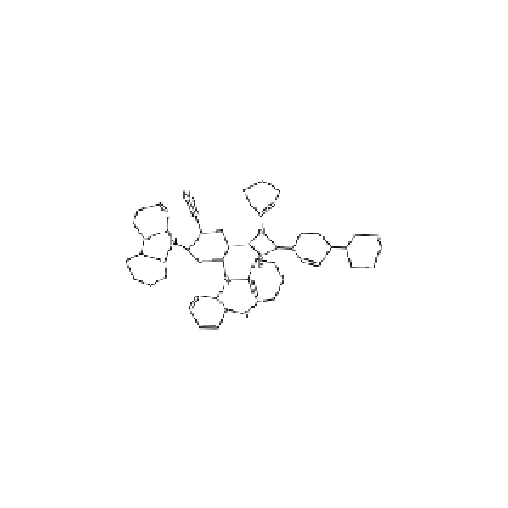 N#CC1CC(C2NC(C3C=CC(C4CCCCC4)CC3)N2C2=CCCCC2)C(N2C3=C(CCCC3)SC3C=CC=CC32)CC1N1C2C=CCCC2C2CCCCC21